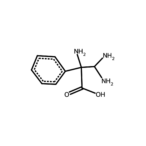 NC(N)C(N)(C(=O)O)c1ccccc1